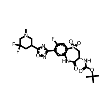 CN1CC(c2nc(-c3cc4c(cc3F)S(=O)(=O)C[C@H](NC(=O)OC(C)(C)C)C(=O)N4)no2)CC(F)(F)C1